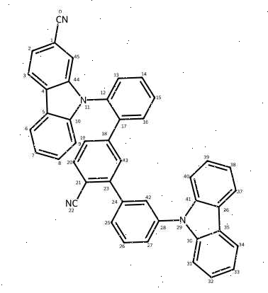 N#Cc1ccc2c3ccccc3n(-c3ccccc3-c3ccc(C#N)c(-c4cccc(-n5c6ccccc6c6ccccc65)c4)c3)c2c1